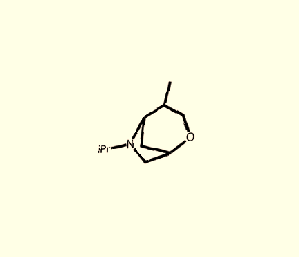 CC1COC2CC1N(C(C)C)C2